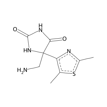 Cc1nc(C2(CN)NC(=O)NC2=O)c(C)s1